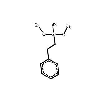 CCO[Si](CCc1ccccc1)(OCC)C(C)C